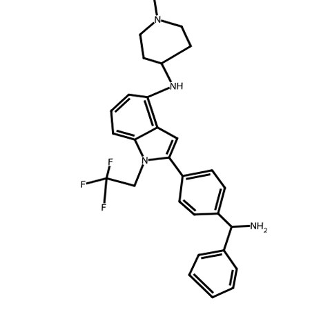 CN1CCC(Nc2cccc3c2cc(-c2ccc(C(N)c4ccccc4)cc2)n3CC(F)(F)F)CC1